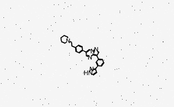 c1cc(-c2cc[nH]n2)cc(-c2cnn3cc(-c4ccc(CCN5CCCCC5)cc4)cnc23)c1